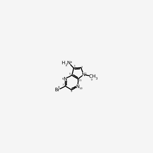 Cn1cc(N)c2nc(Br)cnc21